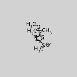 COC(C)(C)c1ncc([S+](C)[O-])s1